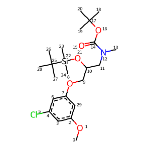 COc1cc(Cl)cc(OCC(CN(C)C(=O)OC(C)(C)C)O[Si](C)(C)C(C)(C)C)c1